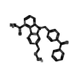 COCc1c[c]c2c3c(C(N)=O)cccc3n(Cc3ccc(C(=O)c4ccccc4)cc3)c2c1